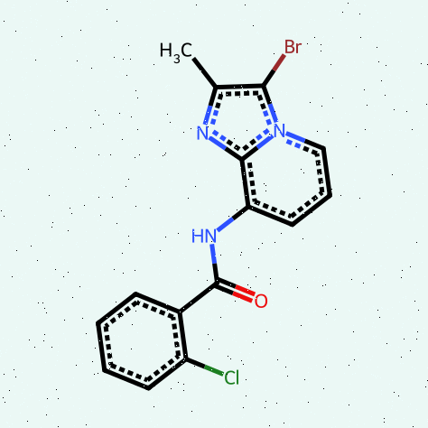 Cc1nc2c(NC(=O)c3ccccc3Cl)cccn2c1Br